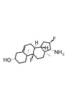 C[C@]12CC[C@@]3(F)[C@@H](CC=C4C[C@@H](O)CC[C@@]43C)[C@@H]1C[C@@H](F)[C@@H]2N